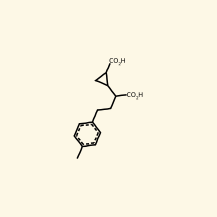 Cc1ccc(CCC(C(=O)O)C2CC2C(=O)O)cc1